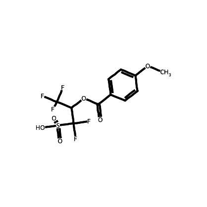 COc1ccc(C(=O)OC(C(F)(F)F)C(F)(F)S(=O)(=O)O)cc1